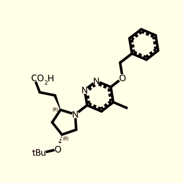 Cc1cc(N2C[C@H](OC(C)(C)C)C[C@H]2CCC(=O)O)nnc1OCc1ccccc1